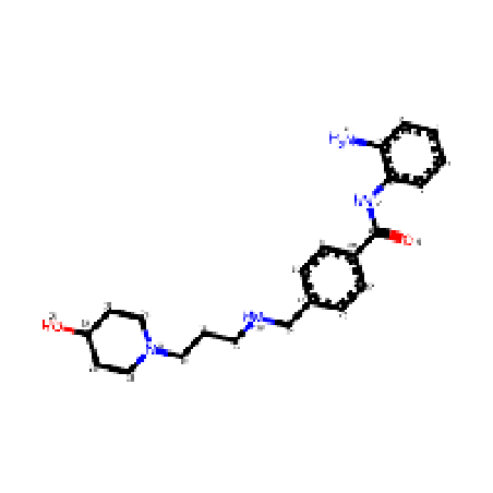 Nc1ccccc1NC(=O)c1ccc(CNCCCN2CCC(O)CC2)cc1